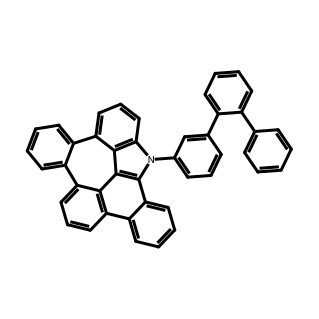 c1ccc(-c2ccccc2-c2cccc(-n3c4cccc5c4c4c6c(cccc6c6ccccc6c43)-c3ccccc3-5)c2)cc1